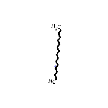 [CH]=CCC/C=C/CCCCCCCCCCC